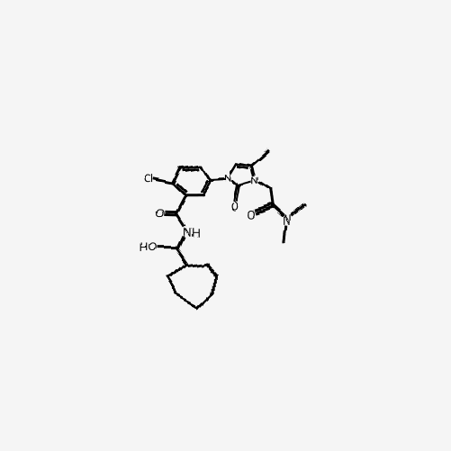 Cc1cn(-c2ccc(Cl)c(C(=O)NC(O)C3CCCCCC3)c2)c(=O)n1CC(=O)N(C)C